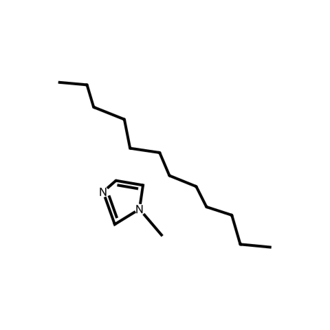 CCCCCCCCCCCC.Cn1ccnc1